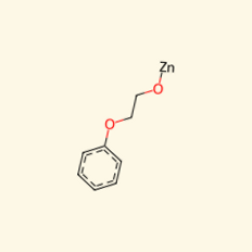 [Zn][O]CCOc1ccccc1